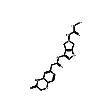 CC(C)NC(=O)NN1Cc2[nH]nc(NC(=O)CC3=CC4NC(=O)COC4C=C3)c2C1